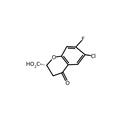 O=C1C[C@H](C(=O)O)Oc2cc(F)c(Cl)cc21